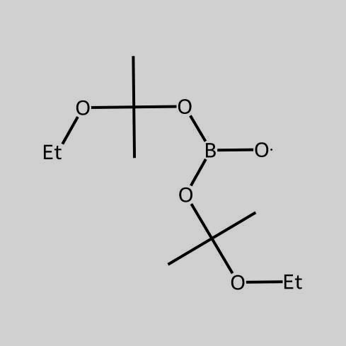 CCOC(C)(C)OB([O])OC(C)(C)OCC